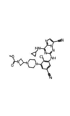 COC(=O)N1CC(N2CCN(c3cc(C#N)cc(Nc4nc(NC5CC5)c5ncc(C#N)n5n4)c3Cl)CC2)C1